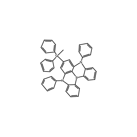 C[Si](c1ccccc1)(c1ccccc1)c1cc2c3c(c1)N(c1ccccc1)c1ccccc1B3c1ccccc1N2c1ccccc1